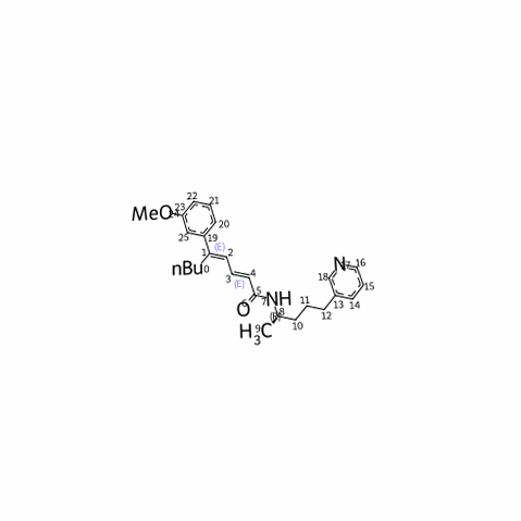 CCCC/C(=C\C=C\C(=O)N[C@H](C)CCCc1cccnc1)c1cccc(OC)c1